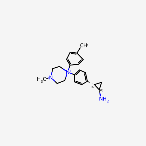 [CH]c1ccc([N+]2(c3ccc([C@@H]4C[C@H]4N)cc3)CCN(C)CC2)cc1